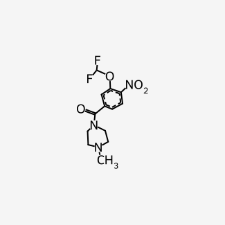 CN1CCN(C(=O)c2ccc([N+](=O)[O-])c(OC(F)F)c2)CC1